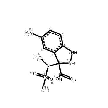 CN(C1(C(=O)O)NNc2ccc(N)cc21)S(C)(=O)=O